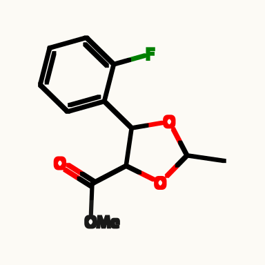 COC(=O)C1OC(C)OC1c1ccccc1F